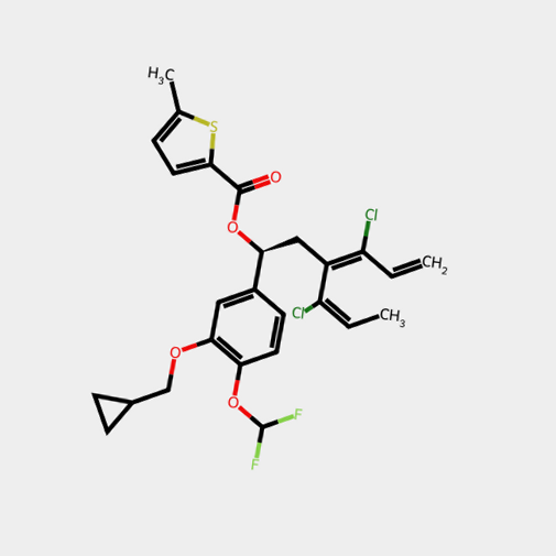 C=C/C(Cl)=C(C[C@H](OC(=O)c1ccc(C)s1)c1ccc(OC(F)F)c(OCC2CC2)c1)\C(Cl)=C/C